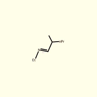 CCCC(C)/C=N/CC